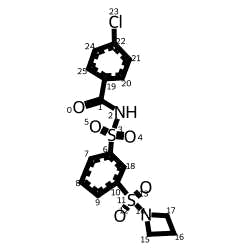 O=C(NS(=O)(=O)c1cccc(S(=O)(=O)N2CCC2)c1)c1ccc(Cl)cc1